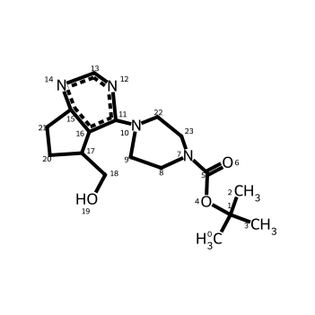 CC(C)(C)OC(=O)N1CCN(c2ncnc3c2C(CO)CC3)CC1